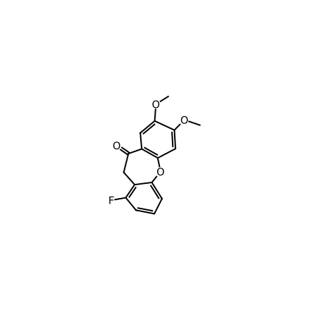 COc1cc2c(cc1OC)C(=O)Cc1c(F)cccc1O2